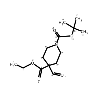 CCOC(=O)C1(C=O)CCN(C(=O)OC(C)(C)C)CC1